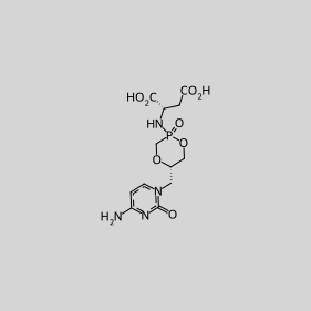 Nc1ccn(C[C@H]2COP(=O)(N[C@@H](CC(=O)O)C(=O)O)CO2)c(=O)n1